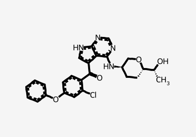 C[C@@H](O)[C@@H]1CC[C@@H](Nc2ncnc3[nH]cc(C(=O)c4ccc(Oc5ccccc5)cc4Cl)c23)CO1